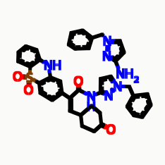 Nc1ccn(Cc2ccccc2)n1.O=C1CCC(C=C(C(=O)Nc2ccn(Cc3ccccc3)n2)c2ccc3c(c2)Nc2ccccc2S3(=O)=O)CC1